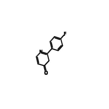 O=C1C=CN=C(c2ccc(F)cc2)C1